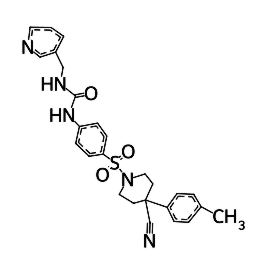 Cc1ccc(C2(C#N)CCN(S(=O)(=O)c3ccc(NC(=O)NCc4cccnc4)cc3)CC2)cc1